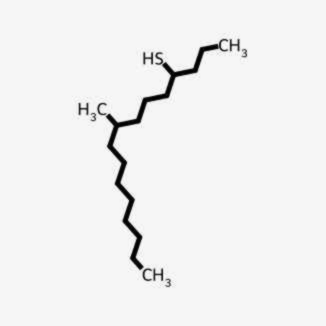 CCCCCCCCC(C)CCCC(S)CCC